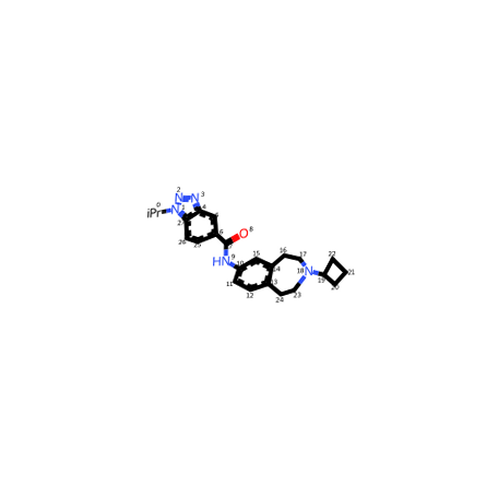 CC(C)n1nnc2cc(C(=O)Nc3ccc4c(c3)CCN(C3CCC3)CC4)ccc21